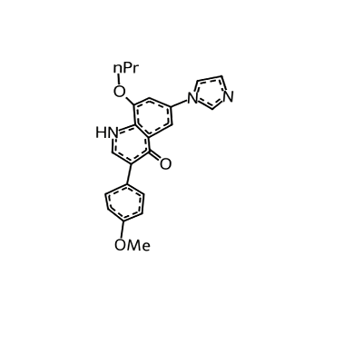 CCCOc1cc(-n2ccnc2)cc2c(=O)c(-c3ccc(OC)cc3)c[nH]c12